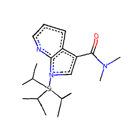 CC(C)[Si](C(C)C)(C(C)C)n1cc(C(=O)N(C)C)c2cccnc21